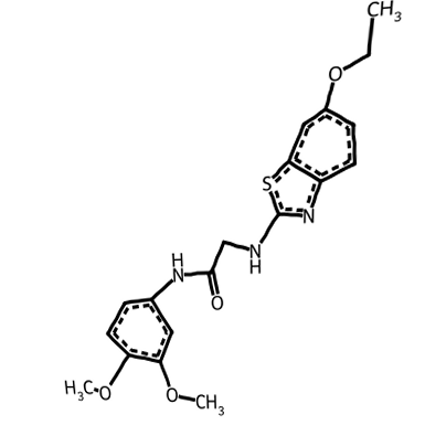 CCOc1ccc2nc(NCC(=O)Nc3ccc(OC)c(OC)c3)sc2c1